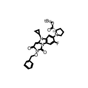 CC(C)(C)OC(=O)[C@@H]1CCCN1c1cc2c(cc1F)n1c(=O)n(OCc3ccccc3)c(=O)cc1n2C1CC1